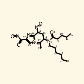 CCCCCCN(C(=O)CCCC)C(CC(N=O)c1nc(C(=O)N=O)cs1)C(C)C